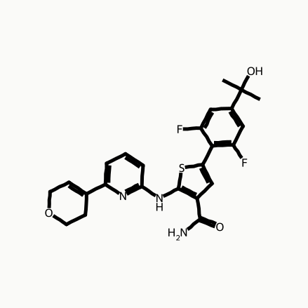 CC(C)(O)c1cc(F)c(-c2cc(C(N)=O)c(Nc3cccc(C4=CCOCC4)n3)s2)c(F)c1